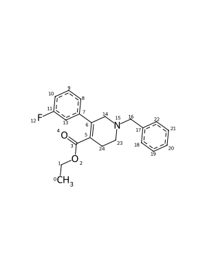 CCOC(=O)C1=C(c2cccc(F)c2)CN(Cc2ccccc2)CC1